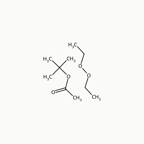 CC(=O)OC(C)(C)C.CCOOCC